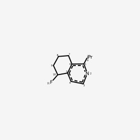 CC(C)c1nccc2c1CCCC2F